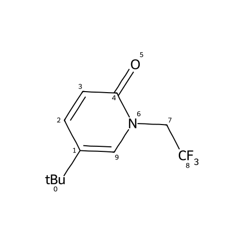 CC(C)(C)c1ccc(=O)n(CC(F)(F)F)c1